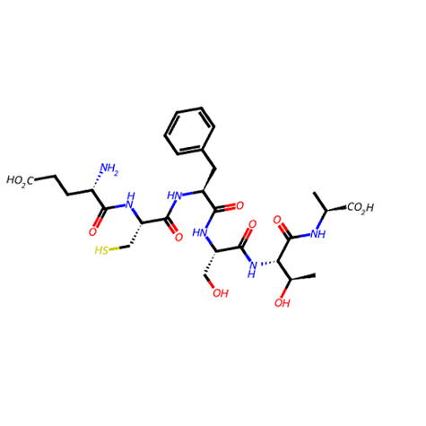 C[C@H](NC(=O)[C@@H](NC(=O)[C@H](CO)NC(=O)[C@H](Cc1ccccc1)NC(=O)[C@H](CS)NC(=O)[C@@H](N)CCC(=O)O)[C@@H](C)O)C(=O)O